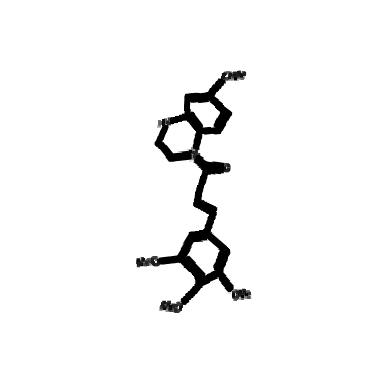 COc1ccc2c(c1)NCCN2C(=O)C=Cc1cc(OC)c(OC)c(OC)c1